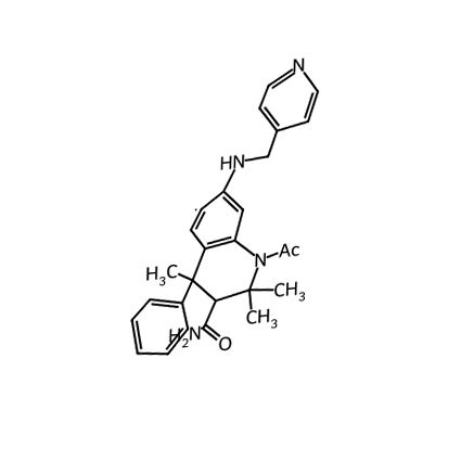 CC(=O)N1c2cc(NCc3ccncc3)[c]cc2C(C)(c2ccccc2)C(C(N)=O)C1(C)C